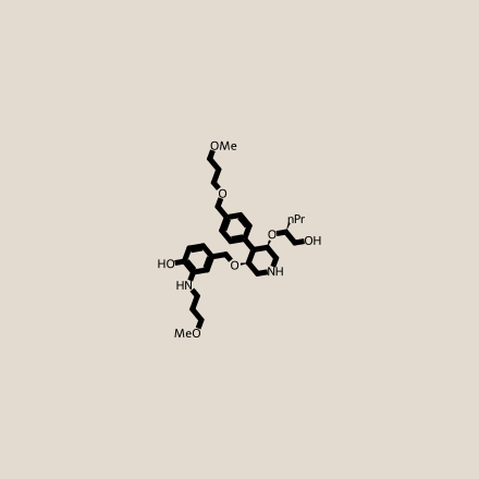 CCC[C@H](CO)O[C@@H]1CNC[C@H](OCc2ccc(O)c(NCCCOC)c2)C1c1ccc(COCCCOC)cc1